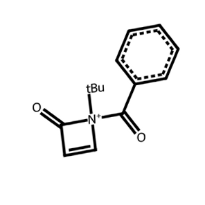 CC(C)(C)[N+]1(C(=O)c2ccccc2)C=CC1=O